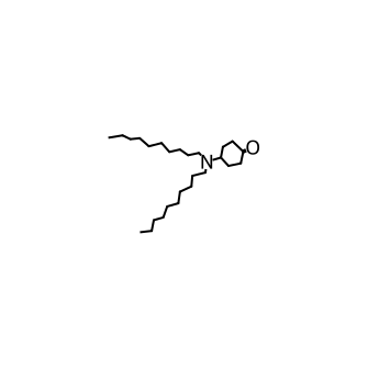 CCCCCCCCCCN(CCCCCCCCCC)C1CCC(=O)CC1